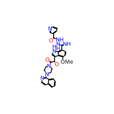 COc1ccc(C(=N)NNC(=O)c2cccnc2)c2[nH]cc(C(=O)C(=O)N3CCN(c4nccc5ccccc45)CC3)c12